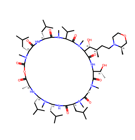 CC(C)C[C@@H]1C(=O)N[C@H](CC(C)C)C(=O)N(C)C(C(C)C)C(=O)N(C)C([C@H](O)[C@H](C)CCN2CCOC[C@H]2C)C(=O)NC([C@@H](C)O)C(=O)N(C)CC(=O)N(C)[C@@H](CC(C)C)C(=O)N[C@H](CC(C)C)N(C)[C@H](CC(C)C)N[C@H](C)C(=O)OC(=O)N1C